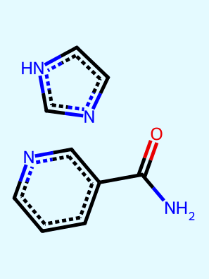 NC(=O)c1cccnc1.c1c[nH]cn1